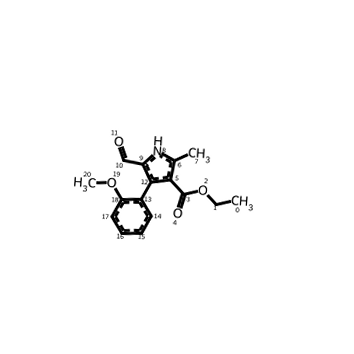 CCOC(=O)c1c(C)[nH]c(C=O)c1-c1ccccc1OC